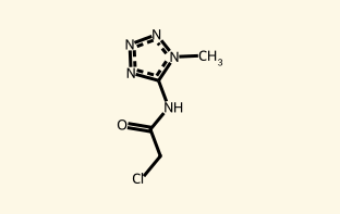 Cn1nnnc1NC(=O)CCl